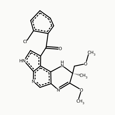 COC[C@]1(C)Nc2c(cnc3[nH]cc(C(=O)c4ccccc4Cl)c23)N=C1OC